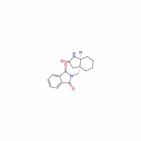 O=C1C[C@]2(CN3C(=O)c4ccccc4C3=O)CCCC[C@@H]2N1